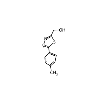 Cc1ccc(-c2nnc(CO)s2)cc1